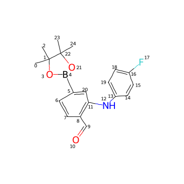 CC1(C)OB(c2ccc(C=O)c(Nc3ccc(F)cc3)c2)OC1(C)C